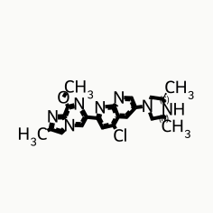 COc1nc(-c2cc(Cl)c3cc(N4C[C@@H](C)N[C@@H](C)C4)cnc3n2)cn2cc(C)nc12